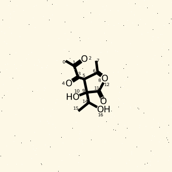 CC(=O)C(=O)C(C(C)=O)C(O)(C(C)=O)C(C)O